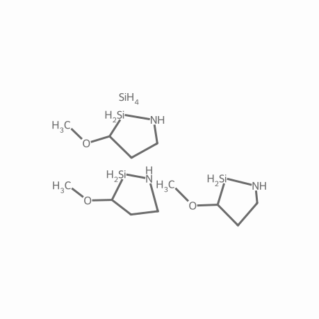 COC1CCN[SiH2]1.COC1CCN[SiH2]1.COC1CCN[SiH2]1.[SiH4]